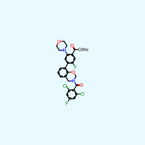 COC(=O)c1cc(F)c(-c2cccc3c2OCN(C(=O)c2c(Cl)cc(F)cc2Cl)C3)cc1N1CCOCC1